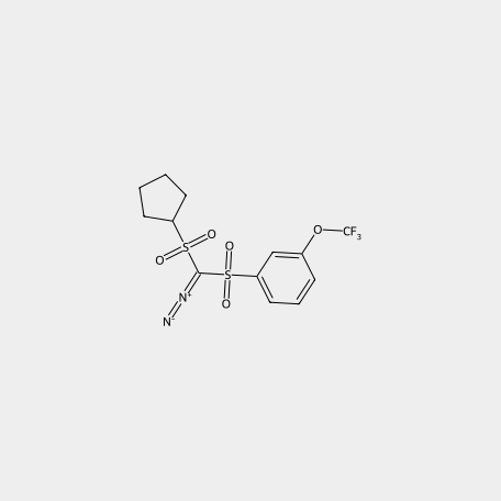 [N-]=[N+]=C(S(=O)(=O)c1cccc(OC(F)(F)F)c1)S(=O)(=O)C1CCCC1